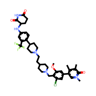 COc1cc(-c2cn(C)c(=O)c(C)c2C)cc(Cl)c1CN1CCC(CCN2CCC(c3ccc(NC4CCC(=O)NC4=O)cc3C(F)(F)F)CC2)CC1